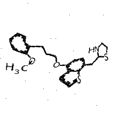 COc1ccccc1CCCOc1ccc(CC2NCCS2)c2sccc12